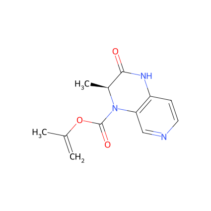 C=C(C)OC(=O)N1c2cnccc2NC(=O)[C@@H]1C